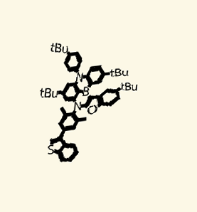 Cc1cc(-c2csc3ccccc23)cc(C)c1N1c2cc(C(C)(C)C)cc3c2B(c2cc(C(C)(C)C)ccc2N3c2ccc(C(C)(C)C)cc2)c2c1oc1ccc(C(C)(C)C)cc21